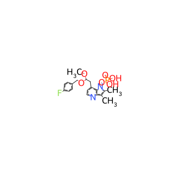 COC(Cc1ccnc2c(C)c(C)n(OP(=O)(O)O)c12)OCc1ccc(F)cc1